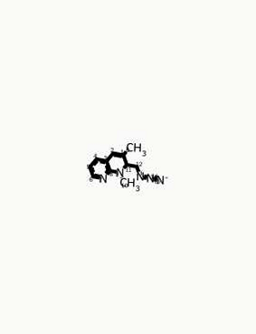 CC1=Cc2cccnc2N(C)C1CN=[N+]=[N-]